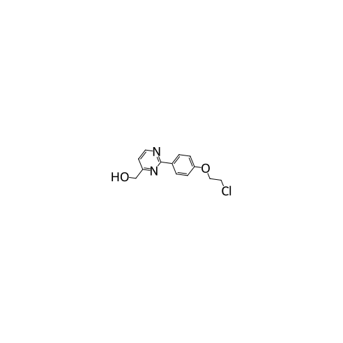 OCc1ccnc(-c2ccc(OCCCl)cc2)n1